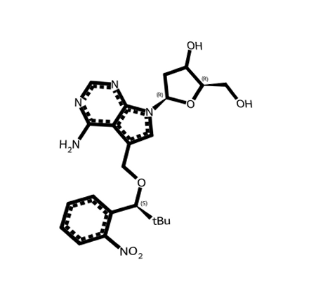 CC(C)(C)[C@H](OCc1cn([C@H]2CC(O)[C@@H](CO)O2)c2ncnc(N)c12)c1ccccc1[N+](=O)[O-]